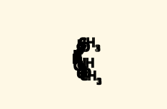 CN1CCc2cc(N3CCn4nc(NC(=O)c5ccc(S(C)(=O)=O)s5)cc43)ccc2C1=O